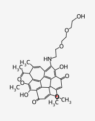 COc1c(O)c2c(=O)cc(OC)c3c4c(OC)cc(=O)c5c(O)c(NCCOCCOCCO)c6c(c(c1C(C(C)=O)C(C)=C6)c23)c54